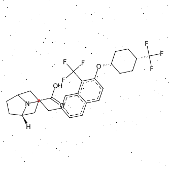 O=C(O)C1CC2CC[C@@H](C1)N2CCc1ccc2ccc(O[C@H]3CC[C@@H](C(F)(F)F)CC3)c(C(F)(F)F)c2c1